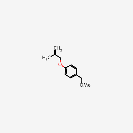 C=C(C)COc1ccc(COC)cc1